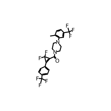 Cc1ccc(C(F)(F)F)cc1N1CCN(C(=O)C2=C(c3ccc(C(F)(F)F)cc3)C2(F)F)CC1